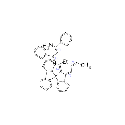 C\C=C/C=C1\C(=C(CC)\N=C(/C=C(\N)c2ccccc2)c2ccccc2)C2(c3ccccc31)c1ccccc1-c1ccccc12